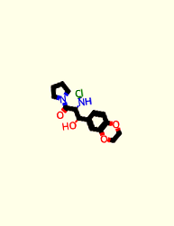 O=C([C@H](NCl)[C@@H](O)c1ccc2c(c1)OCCO2)N1CCCC1